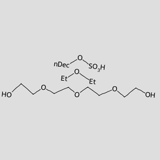 CCCCCCCCCCOS(=O)(=O)O.CCOCC.OCCOCCOCCOCCO